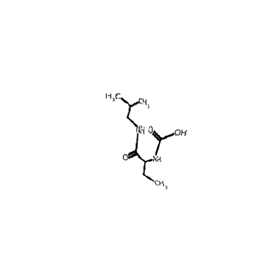 CCC(NC(=O)O)C(=O)NCC(C)C